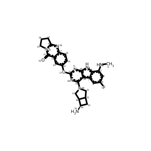 CNc1cc(F)cc2c1[nH]c1nc(Oc3ccc4nc5n(c(=O)c4c3)CCC5)nc(N3CC4C[C@@H](N)C4C3)c12